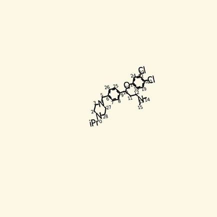 CC(C)N1CCN(Cc2ccc(C(CCN(C)C)Oc3ccc(Cl)c(Cl)c3)cc2)CC1